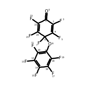 O=C1C(F)=C(F)C(F)(Oc2c(F)c(F)c(F)c(F)c2F)C(F)=C1F